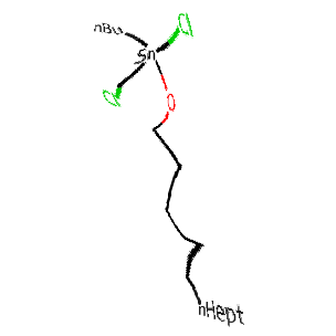 CCCCCCCCCCCC[O][Sn]([Cl])([Cl])[CH2]CCC